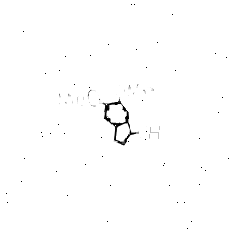 COc1cc2c(cc1OC)C(C)=CC2